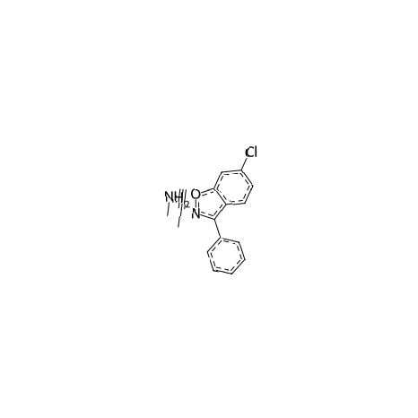 C#CC.CN.Clc1ccc2c(-c3ccccc3)noc2c1